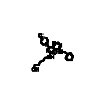 [O-][S+]1CCN(c2nc(NCCCCCO)nc3c(NCc4ccccc4)ncnc23)CC1